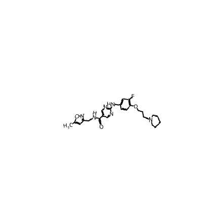 Cc1cc(CNC(=O)c2cnc(Nc3ccc(OCCCN4CCCCC4)c(F)c3)nc2)no1